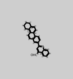 O=Cc1cc(-c2ccc3c(ccc4c5c(ccc43)CCCC5)c2)nc2ccccc12